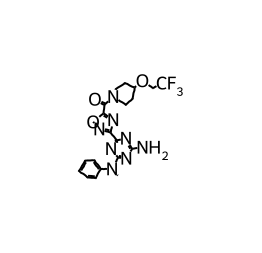 CN(c1ccccc1)c1nc(N)nc(-c2noc(C(=O)N3CCC(OCC(F)(F)F)CC3)n2)n1